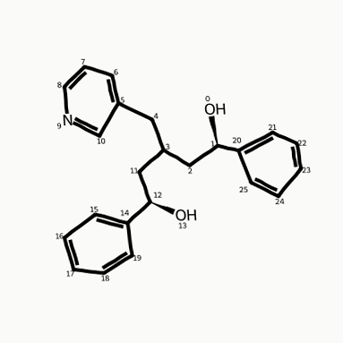 O[C@H](CC(Cc1cccnc1)C[C@@H](O)c1ccccc1)c1ccccc1